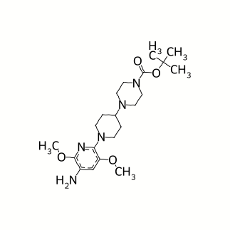 COc1cc(N)c(OC)nc1N1CCC(N2CCN(C(=O)OC(C)(C)C)CC2)CC1